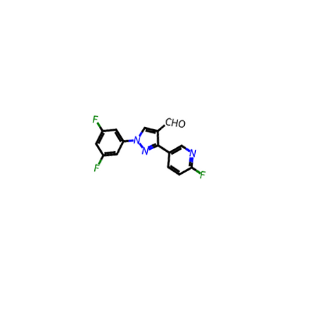 O=Cc1cn(-c2cc(F)cc(F)c2)nc1-c1ccc(F)nc1